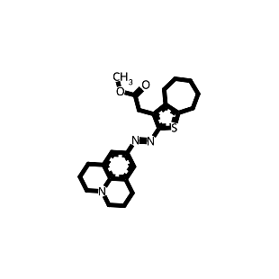 COC(=O)Cc1c(N=Nc2cc3c4c(c2)CCCN4CCC3)sc2c1CCCCC2